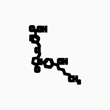 CCCCCC(O)c1ccc(N2C(=O)CCC2COCc2csc(C(=O)O)c2)cc1